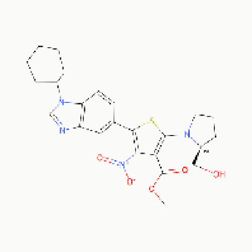 COC(=O)c1c(N2CCC[C@H]2CO)sc(-c2ccc3c(c2)ncn3C2CCCCC2)c1[N+](=O)[O-]